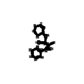 CC1(C(=O)OC2C=CCCC2)N=C1c1ccccc1